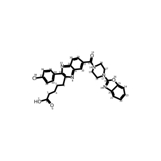 O=C(O)CCCCc1nc2cc(C(=O)N3CCN(c4nc5ccccc5o4)CC3)ccc2nc1-c1ccc(Cl)cc1